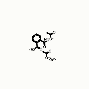 CC(=O)[O-].CC(=O)[O-].O=C(O)c1ccccc1C(=O)O.[Zn+2]